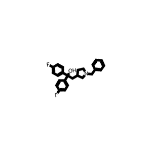 OC(CC1CCN(Cc2ccccc2)C1)(c1ccc(F)cc1)c1ccc(F)cc1